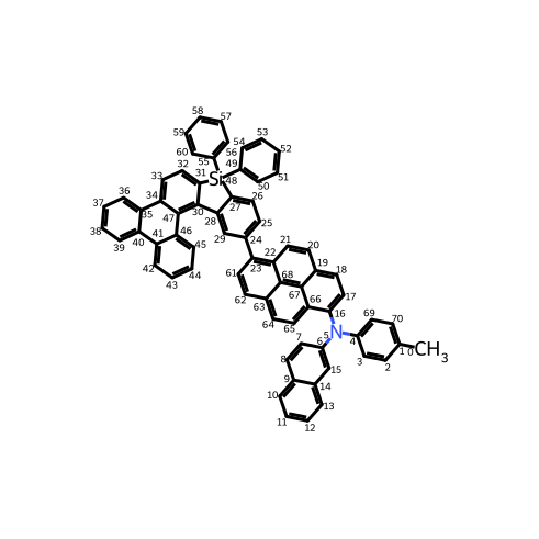 Cc1ccc(N(c2ccc3ccccc3c2)c2ccc3ccc4c(-c5ccc6c(c5)-c5c(ccc7c8ccccc8c8ccccc8c57)[Si]6(c5ccccc5)c5ccccc5)ccc5ccc2c3c54)cc1